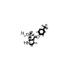 CS(=O)(=O)C[C@H](Oc1ccc(C(F)(F)F)cc1)[C@H]1CCNC1